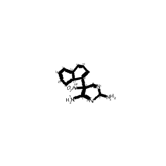 NC1=NC(N)N=CC1(c1cccc2ccccc12)[N+](=O)[O-]